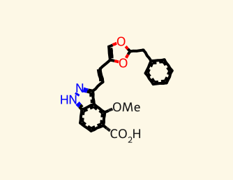 COc1c(C(=O)O)ccc2[nH]nc(C=CC3=COC(Cc4ccccc4)O3)c12